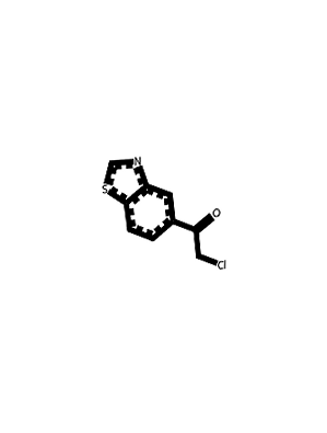 O=C(CCl)c1ccc2scnc2c1